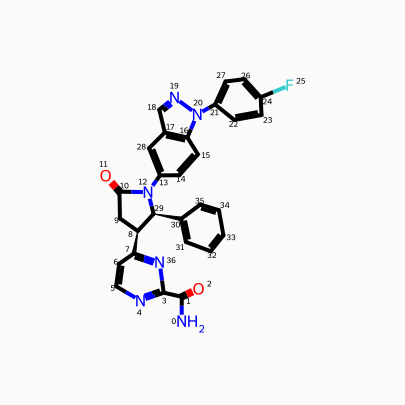 NC(=O)c1nccc([C@H]2CC(=O)N(c3ccc4c(cnn4-c4ccc(F)cc4)c3)[C@H]2c2ccccc2)n1